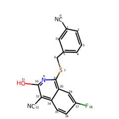 N#Cc1cccc(CSc2nc(O)c(C#N)c3ccc(F)cc23)c1